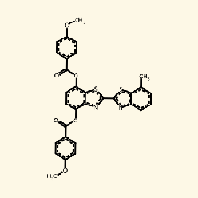 COc1ccc(C(=O)Oc2ccc(OC(=O)c3ccc(OC)cc3)c3sc(-c4nc5cccc(C)c5s4)nc23)cc1